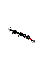 CCCCC1CCC(C2CCC(c3ccc(C#Cc4cc(F)c(C#CC(F)(F)F)c(F)c4)c(F)c3)CC2)CC1